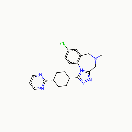 CN1Cc2cc(Cl)ccc2-n2c(nnc2[C@H]2CC[C@@H](c3ncccn3)CC2)C1